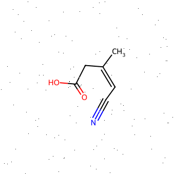 CC(=CC#N)CC(=O)O